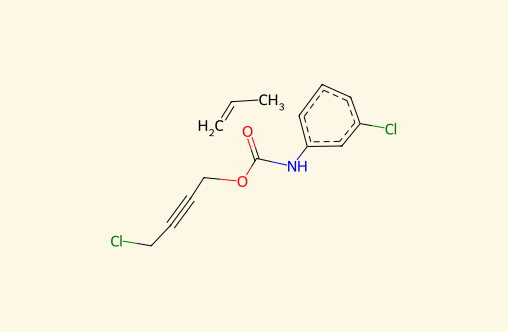 C=CC.O=C(Nc1cccc(Cl)c1)OCC#CCCl